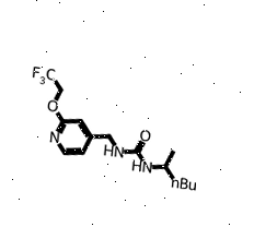 CCCCC(C)NC(=O)NCc1ccnc(OCC(F)(F)F)c1